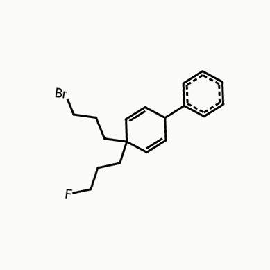 FCCCC1(CCCBr)C=CC(c2ccccc2)C=C1